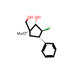 CO[C@@]1(CO)C[C@@H](c2ccccc2)[C@H](F)[C@H]1O